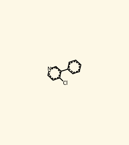 Clc1ccncc1-c1ccccc1